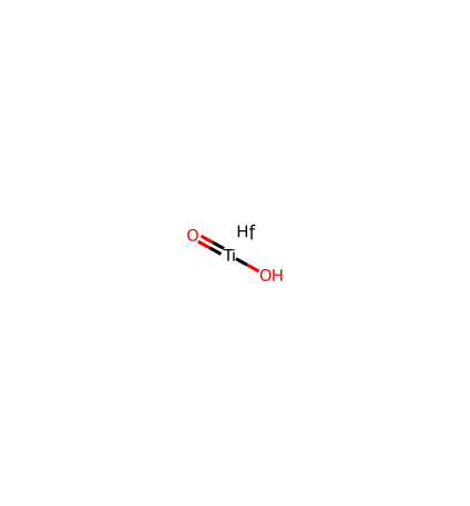 [Hf].[O]=[Ti][OH]